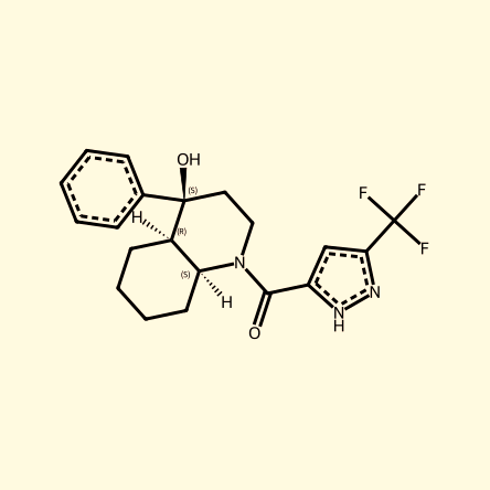 O=C(c1cc(C(F)(F)F)n[nH]1)N1CC[C@@](O)(c2ccccc2)[C@@H]2CCCC[C@@H]21